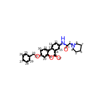 O=C(CN1CCCCC1)Nc1ccc2c(c1)c(=O)oc1cc(OCc3ccccc3)ccc12